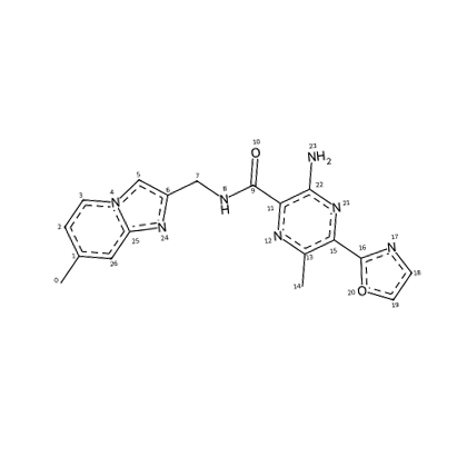 Cc1ccn2cc(CNC(=O)c3nc(C)c(-c4ncco4)nc3N)nc2c1